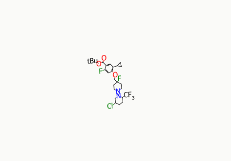 CC(C)(C)OC(=O)c1cc(C2CC2)c(OCC2(F)CCN(N3CC(Cl)CCC3C(F)(F)F)CC2)cc1F